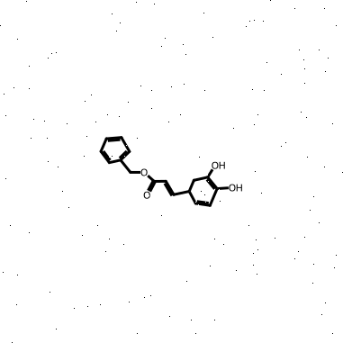 O=C(C=CC1C=CC(O)=C(O)C1)OCc1ccccc1